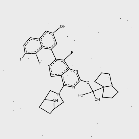 Oc1cc(-c2ncc3c(N4CC5CCC(C4)N5)nc(OC(O)(O)C45CCCN4CCC5)nc3c2F)c2c(F)c(F)ccc2c1